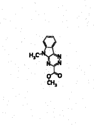 COC(=O)c1nnc2c3ccccc3n(C)c2n1